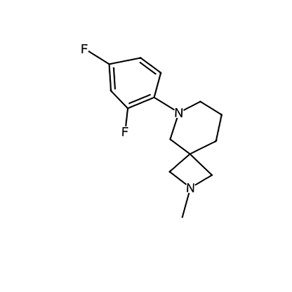 CN1CC2(CCCN(c3ccc(F)cc3F)C2)C1